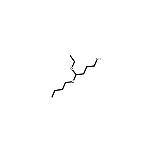 CCCCOC(CCC[NH])OCC